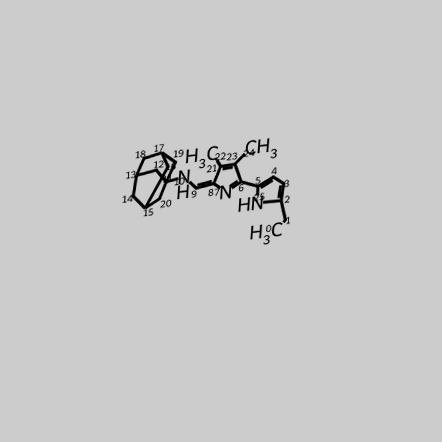 CCc1ccc(C2=N/C(=C/NC34CC5CC(CC(C5)C3)C4)C(C)=C2C)[nH]1